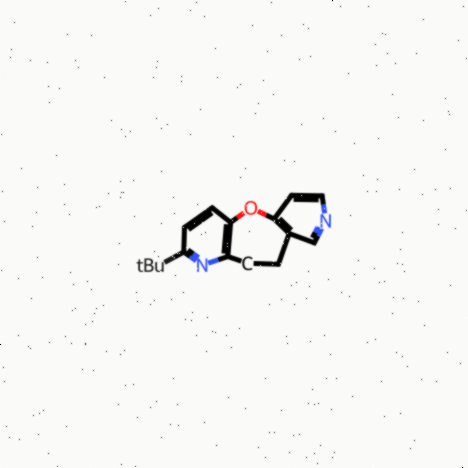 CC(C)(C)c1ccc2c(n1)CCc1cnccc1O2